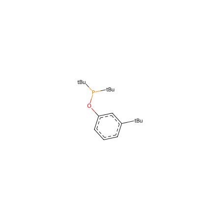 CC(C)(C)c1cccc(OP(C(C)(C)C)C(C)(C)C)c1